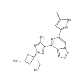 Cc1cc(-c2cn3nccc3c(-c3cn([C@]4(CC#N)C[C@@H](C#N)C4)nc3N)n2)n[nH]1